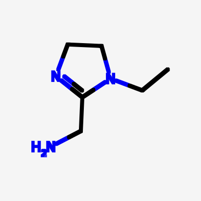 CCN1CCN=C1CN